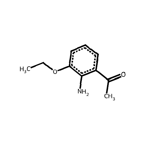 CCOc1cccc(C(C)=O)c1N